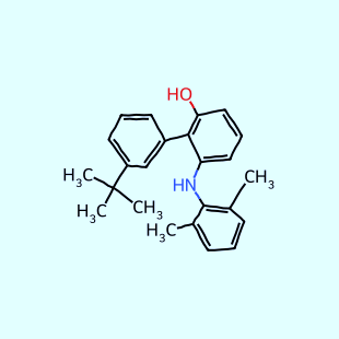 Cc1cccc(C)c1Nc1cccc(O)c1-c1cccc(C(C)(C)C)c1